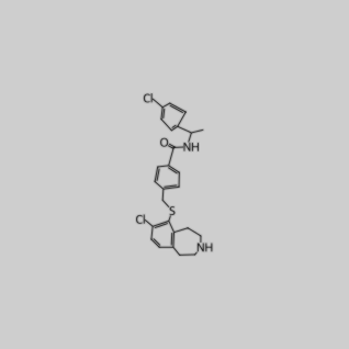 CC(NC(=O)c1ccc(CSc2c(Cl)ccc3c2CCNCC3)cc1)c1ccc(Cl)cc1